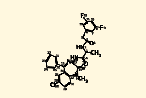 C[C@H](NC(=O)Cc1cc(F)cc(F)c1)C(=O)NC1N=C(c2ccccc2)c2cc(Cl)ccc2N(C)C1=O